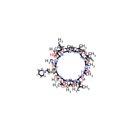 C/C=C/C[C@@H](C)[C@@H](O)[C@H]1C(=O)N[C@@H](CC)C(=O)N(C)[C@H](CSCCN2CCCCC2)C(=O)N(C)[C@@H](CC(C)(C)O)C(=O)N[C@H](C(C)C)C(=O)N(C)[C@H](CCC(C)C)C(=O)N[C@H](C)C(=O)N[C@@H](C)C(=O)N(C)[C@@H](CC(C)C)C(=O)N(C)[C@@H](CC(C)C)C(=O)N(C)[C@@H](C(C)C)C(=O)N1C